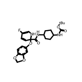 CC(C)(C)OC(=O)NC1CCC(NC(=O)C2(Oc3ccc4c(c3)OCO4)C=CC(F)=CN2)CC1